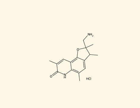 Cc1cc2c3c(cc(C)c2[nH]c1=O)C(C)C(C)(CN)O3.Cl